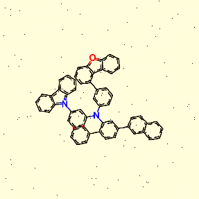 c1ccc(-c2ccc(-c3ccc4ccccc4c3)cc2N(c2cccc(-c3cccc4oc5ccccc5c34)c2)c2cccc(-n3c4ccccc4c4ccccc43)c2)cc1